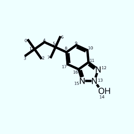 CC(C)(C)CC(C)(C)c1ccc2nn(O)nc2c1